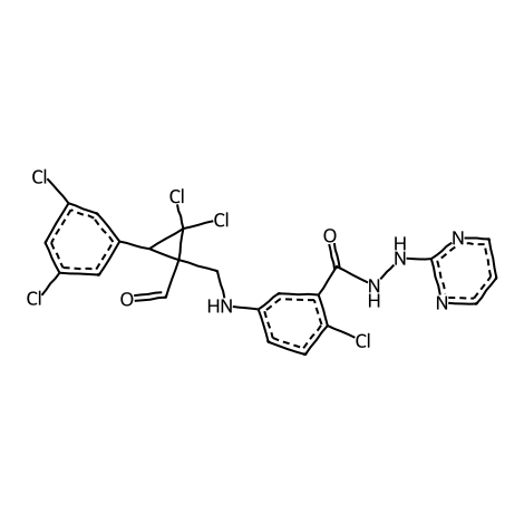 O=CC1(CNc2ccc(Cl)c(C(=O)NNc3ncccn3)c2)C(c2cc(Cl)cc(Cl)c2)C1(Cl)Cl